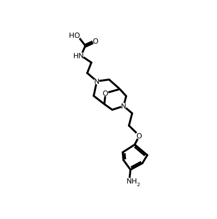 Nc1ccc(OCCN2CC3CN(CCNC(=O)O)CC(C2)O3)cc1